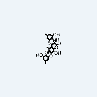 Cc1cc(O)c(O)c(Oc2cc(C)c3c4c(c(=O)oc3c2O)Nc2c(O)cc(C)cc2S4)c1